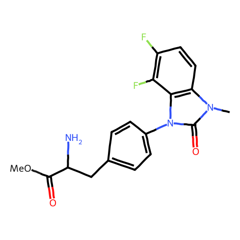 COC(=O)C(N)Cc1ccc(-n2c(=O)n(C)c3ccc(F)c(F)c32)cc1